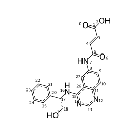 O=C(O)/C=C/C(=O)Nc1ccc2ncnc(N[C@H](CO)c3ccccc3)c2c1